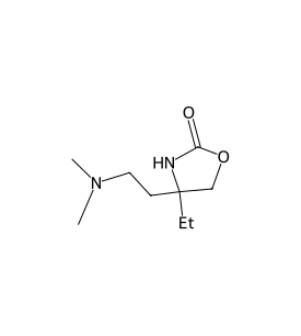 CCC1(CCN(C)C)COC(=O)N1